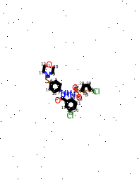 O=C(Nc1ccc(SN2CCOCC2)cc1)c1cc(Cl)ccc1NS(=O)(=O)c1ccc(Cl)s1